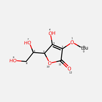 CC(C)(C)OC1=C(O)C(C(O)CO)OC1=O